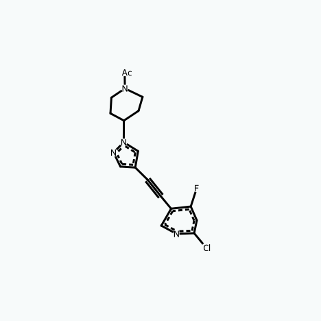 CC(=O)N1CCC(n2cc(C#Cc3cnc(Cl)cc3F)cn2)CC1